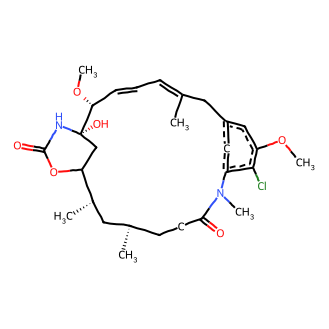 COc1cc2cc(c1Cl)N(C)C(=O)CC[C@H](C)C[C@H](C)C1C[C@@](O)(NC(=O)O1)[C@H](OC)/C=C/C=C(\C)C2